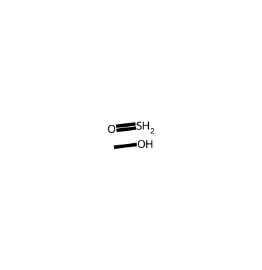 CO.O=[SH2]